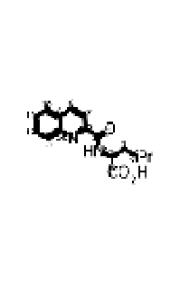 CC(C)C[C@H](NC(=O)c1ccc2ccccc2n1)C(=O)O